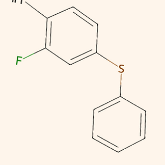 CC(C)c1ccc(Sc2ccccc2)cc1F